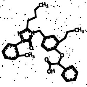 CCCCc1nn(-c2ccccc2C)c(=O)n1Cc1ccc(OC(C(=O)O)c2ccccc2)c(CCC)c1